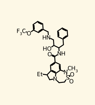 CCC1CN2CCS(=O)(=O)N(C)c3cc(C(=O)NC(Cc4ccccc4)C(O)CNCc4cccc(OC(F)(F)F)c4)cc1c32